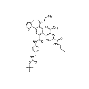 CCCNC(=O)c1ccc(-c2cc3c(cc2C(=O)Nc2ccc(CNC(=O)OC(C)(C)C)cc2)-c2sccc2CCN3CCO)c(C(=O)O)n1